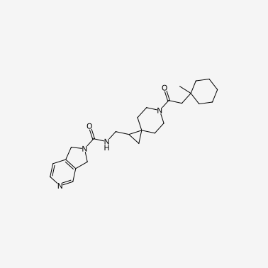 CC1(CC(=O)N2CCC3(CC2)CC3CNC(=O)N2Cc3ccncc3C2)CCCCC1